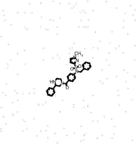 Cn1ccc(S(=O)(=O)N(Cc2ccccc2)c2ccc(C(=O)N3CCNC(c4ccccc4)C3)cc2)n1